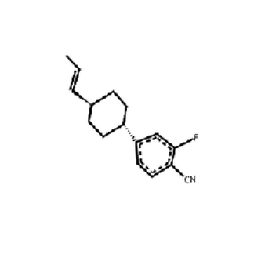 C/C=C/[C@H]1CC[C@H](c2ccc(C#N)c(F)c2)CC1